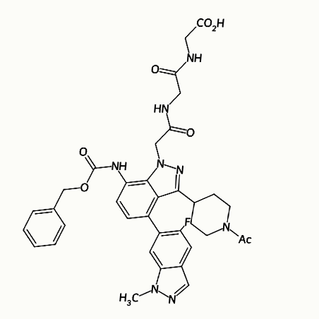 CC(=O)N1CCC(c2nn(CC(=O)NCC(=O)NCC(=O)O)c3c(NC(=O)OCc4ccccc4)ccc(-c4cc5c(cnn5C)cc4F)c23)CC1